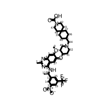 COc1cc2nc(C)nc(N[C@H](C)c3cc([N+](=O)[O-])cc(C(F)(F)F)c3)c2cc1OC1CCN(CC2CCC3(CC2)CCN(C(=O)O)CC3)CC1